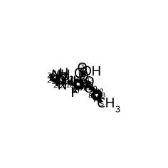 CS(=O)(=O)O.Cc1ccc(COC(=O)N2CC[C@H](CNc3ncc4cc[nH]c4n3)[C@H](F)C2)cc1